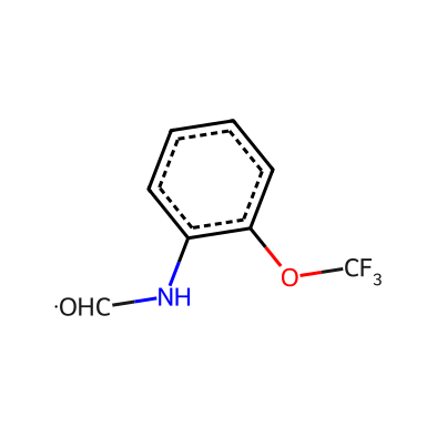 O=[C]Nc1ccccc1OC(F)(F)F